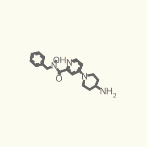 NC1CCN(c2ccnc(C(=O)N(O)Cc3ccccc3)c2)CC1